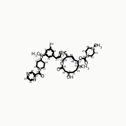 C/C(=C\c1cc(F)cc(N(C)C2CCN(C(=O)c3cnccn3)CC2)c1)[C@H]1OC(=O)C[C@H](O)CC[C@H](C)[C@@H](OC(=O)N2CCN(C)CC2)/C=C/[C@@H]1C